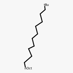 [CH2]CCCCCCCCCCCCCCCCCC(C)(C)C